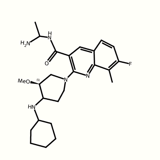 CO[C@H]1CN(c2nc3c(C)c(F)ccc3cc2C(=O)NC(C)N)CCC1NC1CCCCC1